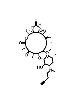 C#CCCN(C)[C@H]1C[C@@H](C)O[C@@H](O[C@@H]2[C@@H](C)C(=O)[C@@H](C)C(=O)O[C@H](I)[C@@]3(C)OC(=O)N[C@@H]3[C@@H](C)C(=O)[C@H](C)C[C@@]2(C)OC)[C@@H]1O